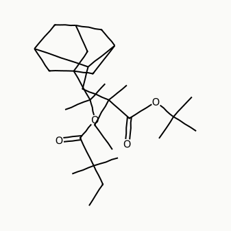 CCC(C)(C)C(=O)OC(C)(C)C12CC3CC(C1)C(CC(C)(CC)C(=O)OC(C)(C)C)C(C3)C2